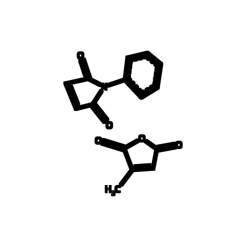 CC1=CC(=O)OC1=O.O=C1C=CC(=O)N1c1ccccc1